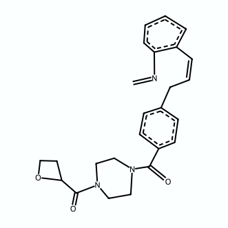 C=Nc1ccccc1/C=C\Cc1ccc(C(=O)N2CCN(C(=O)C3CCO3)CC2)cc1